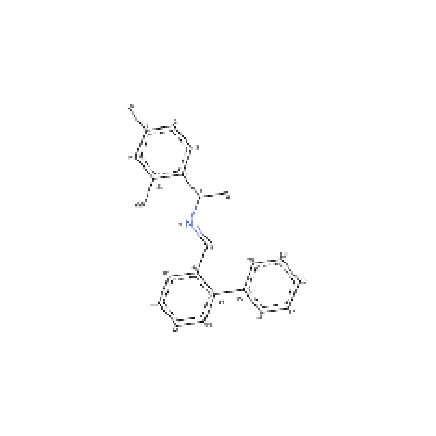 Cc1ccc(C(C)N=Cc2ccccc2-c2ccccc2)c(C)c1